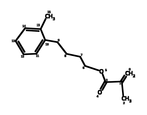 C=C(C)C(=O)OCCCCc1ccccc1C